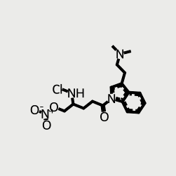 CN(C)CCc1cn(C(=O)CCC(CO[N+](=O)[O-])NCl)c2ccccc12